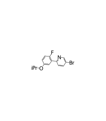 CC(C)Oc1ccc(F)c(-c2ccc(Br)cn2)c1